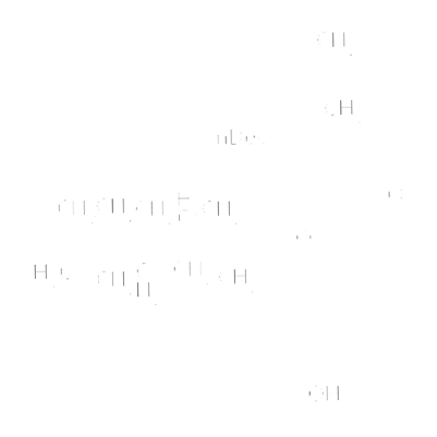 C=C.C=C.C=C.C=C.C=C.C=C.CCCCCCCCCCCC(=O)OCCO